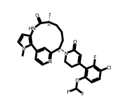 C[C@@H]1CCC[C@H](N2CCC(c3c(OC(F)F)ccc(Cl)c3F)=CC2=O)c2cc(ccn2)-c2c(ccn2C)NC1=O